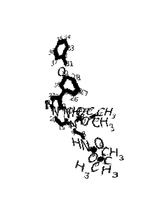 CC(C)(C)OC(=O)NCCN(C(=O)OC(C)(C)C)c1ccn2ncc(-c3cccc(OCc4ccccc4)c3)c2n1